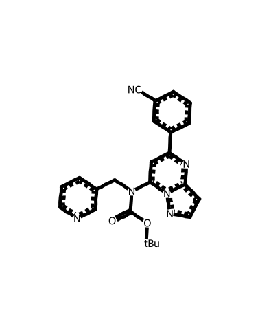 CC(C)(C)OC(=O)N(Cc1cccnc1)c1cc(-c2cccc(C#N)c2)nc2ccnn12